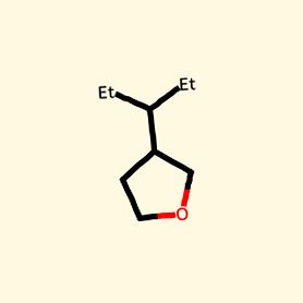 CCC(CC)C1CCOC1